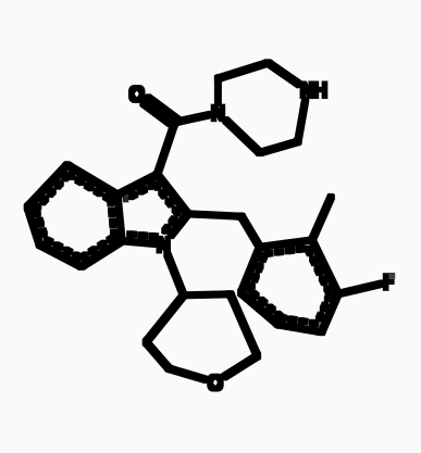 Cc1c(F)cccc1Cc1c(C(=O)N2CCNCC2)c2ccccc2n1C1CCOCC1